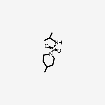 CC1CCN(S(=O)(=O)NC(C)C)CC1